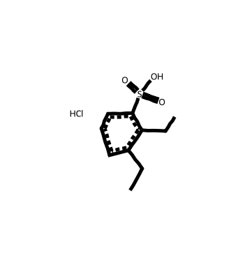 CCc1cccc(S(=O)(=O)O)c1CC.Cl